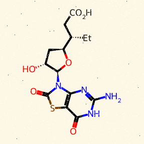 CC[C@@H](CC(=O)O)[C@@H]1C[C@@H](O)[C@H](n2c(=O)sc3c(=O)[nH]c(N)nc32)O1